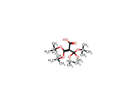 C[SiH](C)OC(O[SiH3])(O[Si](C)(C)C)C(C(=O)O)=C(O[Si](C)(C)C)O[Si](C)(C)C